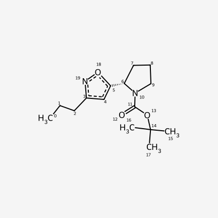 CCCc1cc([C@@H]2CCCN2C(=O)OC(C)(C)C)on1